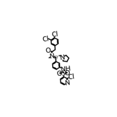 CN(C(=O)Cc1ccc(Cl)c(Cl)c1)[C@H](CN1CCCC1)c1cccc(NS(=O)(=O)c2cccnc2Cl)c1